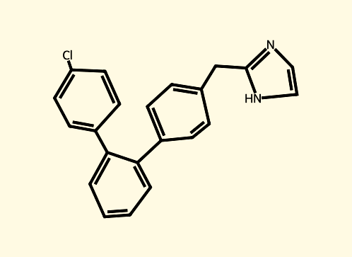 Clc1ccc(-c2ccccc2-c2ccc(Cc3ncc[nH]3)cc2)cc1